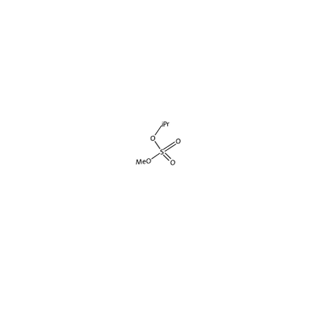 COS(=O)(=O)OC(C)C